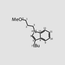 COCCCn1cc(C(C)(C)C)c2ccccc21